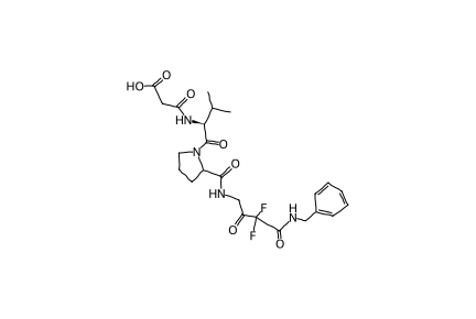 CC(C)[C@H](NC(=O)CC(=O)O)C(=O)N1CCCC1C(=O)NCC(=O)C(F)(F)C(=O)NCc1ccccc1